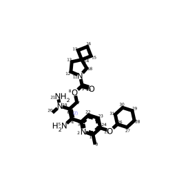 Cc1nc(/C(N)=C(\COC(=O)N2CCC3(CCC3)C2)N(C)N)ccc1OC1CCCCC1